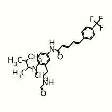 CC(C)C(C)N(C)c1ccc(NC(=O)/C=C/C=C/c2ccc(C(F)(F)F)cc2)cc1CCNC=O